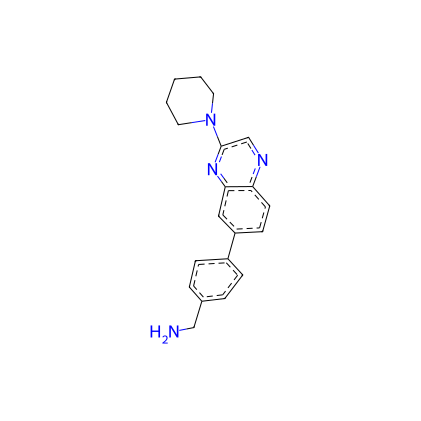 NCc1ccc(-c2ccc3ncc(N4CCCCC4)nc3c2)cc1